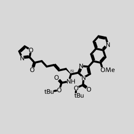 COc1cc2ncccc2cc1-c1cn(C(=O)OC(C)(C)C)c([C@H](CC=CCCC(=O)c2ncco2)NC(=O)OC(C)(C)C)n1